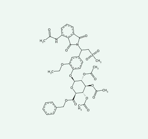 CCOc1cc(C(CS(C)(=O)=O)N2C(=O)c3cccc(NC(C)=O)c3C2=O)ccc1O[C@@H]1O[C@H](C(=O)OCc2ccccc2)[C@@H](OC(C)=O)[C@H](OC(C)=O)[C@H]1OC(C)=O